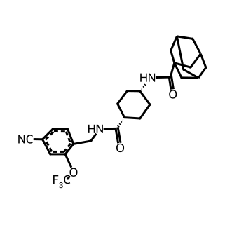 N#Cc1ccc(CNC(=O)[C@H]2CC[C@@H](NC(=O)C34CC5CC(CC(C5)C3)C4)CC2)c(OC(F)(F)F)c1